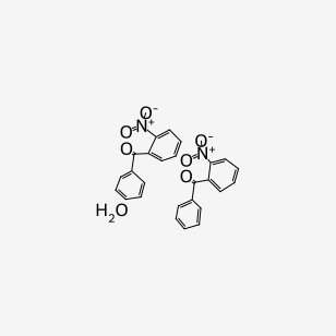 O.O=C(c1ccccc1)c1ccccc1[N+](=O)[O-].O=C(c1ccccc1)c1ccccc1[N+](=O)[O-]